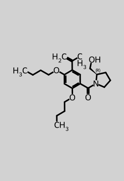 C=C(C)c1cc(C(=O)N2CCC[C@@H]2CO)c(OCCCC)cc1OCCCC